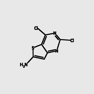 Nc1cc2nc(Cl)nc(Cl)c2s1